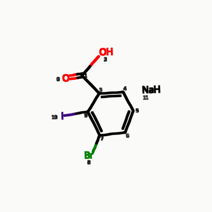 O=C(O)c1cccc(Br)c1I.[NaH]